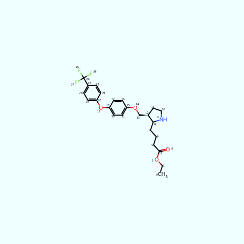 CCOC(=O)CCCC1NCC[C@@H]1COc1ccc(Oc2ccc(C(F)(F)F)cc2)cc1